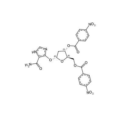 NC(=O)c1[nH]cnc1O[C@@H]1C[C@H](OC(=O)c2ccc([N+](=O)[O-])cc2)[C@@H](COC(=O)c2ccc([N+](=O)[O-])cc2)O1